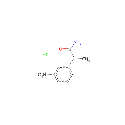 CC(C(N)=O)c1cccc([N+](=O)[O-])c1.Cl